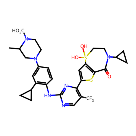 CC1CN(c2ccc(Nc3ncc(C(F)(F)F)c(-c4cc5c(s4)C(=O)N(C4CC4)CCS5(O)O)n3)c(C3CC3)c2)CCN1C(=O)O